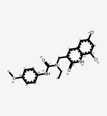 CCN(Cc1cc2cc(Cl)cc(Cl)c2[nH]c1=O)C(=O)Nc1ccc(OC)cc1